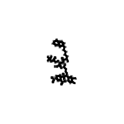 Cc1ccc(N(CCCCO[C@@H](C(=O)N(C)CCCCCc2ccc3ccccc3c2)[C@@H](OCC(=O)OC(C)(C)C)C(=O)O)S(=O)(=O)c2ccc([N+](=O)[O-])cc2[N+](=O)[O-])cc1C